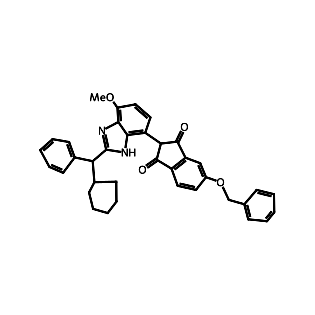 COc1ccc(C2C(=O)c3ccc(OCc4ccccc4)cc3C2=O)c2[nH]c(C(c3ccccc3)C3CCCCC3)nc12